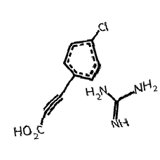 N=C(N)N.O=C(O)C#Cc1ccc(Cl)cc1